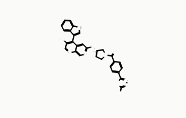 Cc1nnc(-c2ccc(C(=O)N3CC[C@@H](Nc4cc5c(-c6c[nH]c7ccccc67)c(C#N)cnc5cn4)C3)cc2)o1